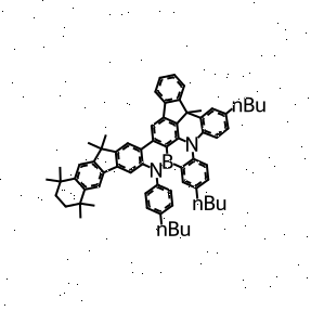 CCCCc1ccc(N2B3c4cc(CCCC)ccc4N4c5ccc(CCCC)cc5C5(C)c6ccccc6-c6cc(c3c4c65)-c3cc4c(cc32)-c2cc3c(cc2C4(C)C)C(C)(C)CCC3(C)C)cc1